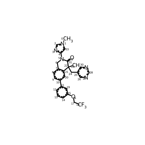 Cn1cnc(N2Cc3ccc(-c4cccc(OCC(F)(F)F)c4)cc3C(C)(Cc3cncnc3)C2=O)c1